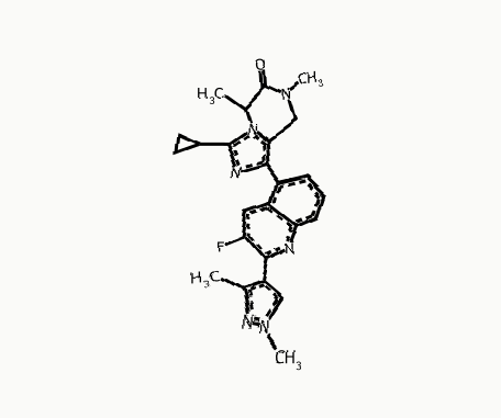 Cc1nn(C)cc1-c1nc2cccc(-c3nc(C4CC4)n4c3CN(C)C(=O)C4C)c2cc1F